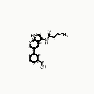 CCCC(=O)Nc1c[nH]c2ncc(-c3cccc(CO)c3)cc12